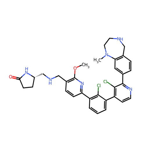 COc1nc(-c2cccc(-c3ccnc(-c4ccc5c(c4)N(C)CCNC5)c3Cl)c2Cl)ccc1CNC[C@@H]1CCC(=O)N1